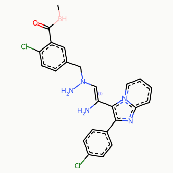 CBC(=O)c1cc(CN(N)/C=C(\N)c2c(-c3ccc(Cl)cc3)nc3ccccn23)ccc1Cl